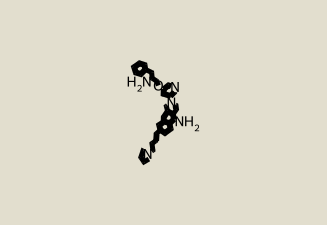 Nc1c2c(cc3cc(/C=C/CCN4CCCC4)ccc13)CN(c1cncc(OC[C@H](N)Cc3ccccc3)c1)C=C2